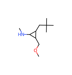 CNC1C(COC)C1CC(C)(C)C